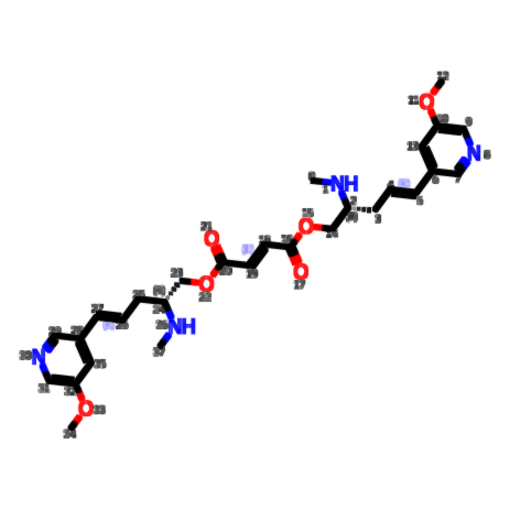 CN[C@H](C/C=C/c1cncc(OC)c1)COC(=O)/C=C/C(=O)OC[C@@H](C/C=C/c1cncc(OC)c1)NC